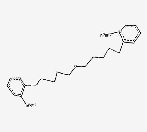 CCCCCc1ccccc1CCCCCOCCCCCc1ccccc1CCCCC